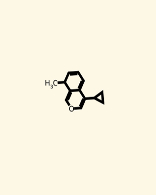 CC1C=CC=C2C1=COC=C2C1CC1